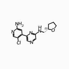 Nc1cc(-c2cncc(NC[C@@H]3CCCO3)n2)c(Cl)cn1